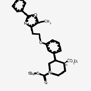 CCOC(=O)[C@H]1CCN(C(=O)OC(C)(C)C)CC1c1cccc(OCCc2nc(-c3ccccc3)oc2C)c1